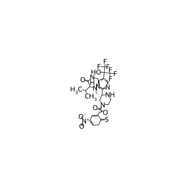 CC(C)C1C(=O)NCCN1C[C@@]1(c2ncc(C(O)(C(F)(F)F)C(F)(F)F)cn2)CN(S(=O)(=O)C2=CC([N+](=O)[O-])=CCC2=S)CCN1